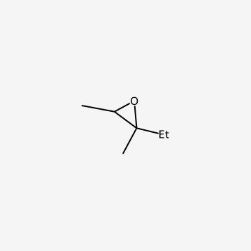 CCC1(C)OC1C